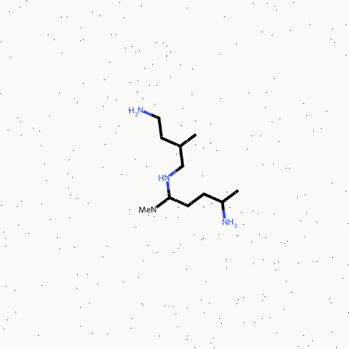 CNC(CCC(C)N)NCC(C)CCN